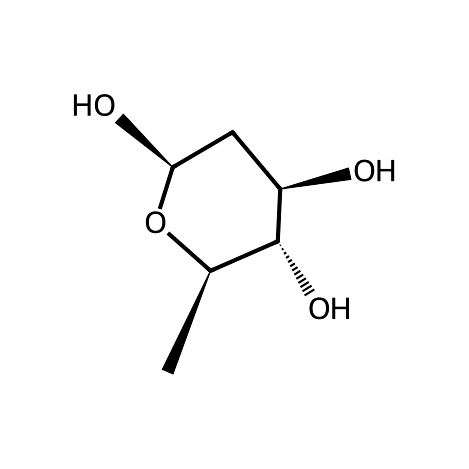 C[C@H]1O[C@@H](O)C[C@@H](O)[C@@H]1O